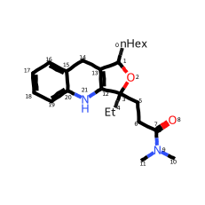 CCCCCCC1OC(CC)(CCC(=O)N(C)C)C2=C1Cc1ccccc1N2